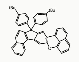 CC(C)(C)c1ccc(C2(c3ccc(C(C)(C)C)cc3)c3cc4c(cc3-c3c2ccc2ccccc32)Oc2cccc3cccc-4c23)cc1